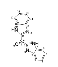 [O-][S+](c1nc2ccccc2[nH]1)c1nc2ccccc2[nH]1